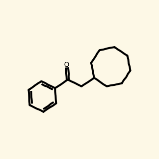 O=C(CC1CCCCCCC1)c1ccccc1